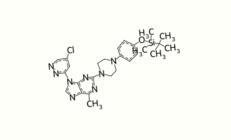 Cc1nc(N2CCN(c3ccc(O[Si](C)(C)C(C)(C)C)cc3)CC2)nc2c1ncn2-c1cc(Cl)cnn1